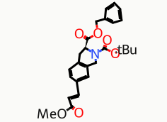 COC(=O)C=Cc1ccc2c(c1)CN(C(=O)OC(C)(C)C)[C@H](C(=O)OCc1ccccc1)C2